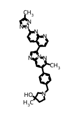 Cc1cnn(-c2ccc3c(-c4cnc5cc(-c6ccc(CN7CCC(C)(O)C7)cc6)c(C)nn45)ccnc3n2)n1